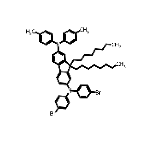 CCCCCCCCC1(CCCCCCCC)c2cc(N(c3ccc(C)cc3)c3ccc(C)cc3)ccc2-c2ccc(N(c3ccc(Br)cc3)c3ccc(Br)cc3)cc21